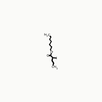 CCCCCCCOC(=O)C(I)CCC